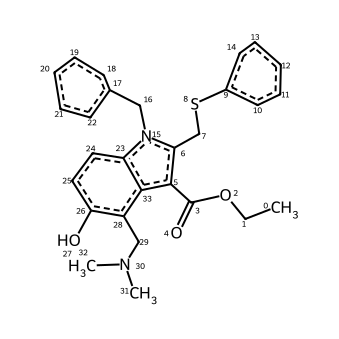 CCOC(=O)c1c(CSc2ccccc2)n(Cc2ccccc2)c2ccc(O)c(CN(C)C)c12